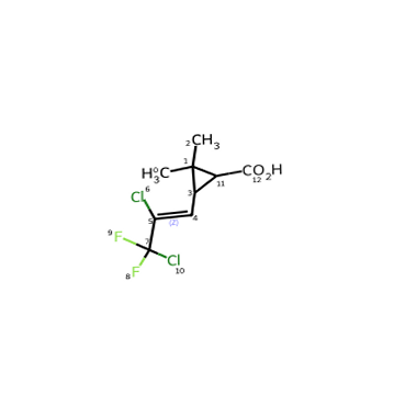 CC1(C)C(/C=C(\Cl)C(F)(F)Cl)C1C(=O)O